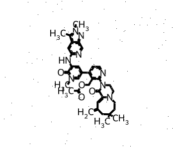 C=C1/C=C2/C(=O)N(c3nccc(-c4cc(Nc5cc6c(C)n(C)nc6cn5)c(=O)n(C)c4)c3COC(C)=O)CCN2CCC(C)(C)C1